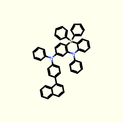 c1ccc(N(c2ccc(-c3cccc4ccccc34)cc2)c2ccc3c(c2)N(c2ccccc2)c2ccccc2[Si]3(c2ccccc2)c2ccccc2)cc1